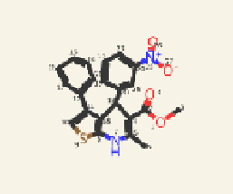 COC(=O)C1=C(C)Nc2scc(-c3ccccc3)c2C1c1cccc([N+](=O)[O-])c1